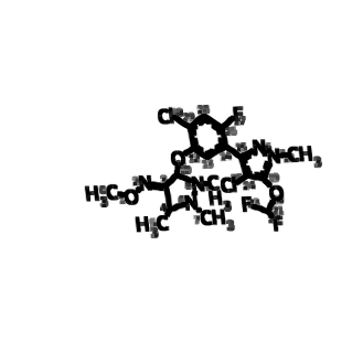 CON=C1C(C)N(C)N(C)C1Oc1cc(-c2nn(C)c(OC(F)F)c2Cl)c(F)cc1Cl